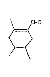 CC1=C(C=O)CC(C)C(C)C1